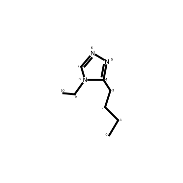 CCCCc1nncn1CC